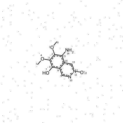 COc1c(OC)c(O)c2cn[n+]([O-])cc2c1N